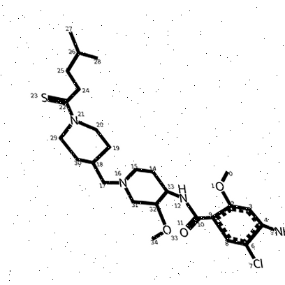 COc1cc(N)c(Cl)cc1C(=O)NC1CCN(CC2CCN(C(=S)CCC(C)C)CC2)CC1OC